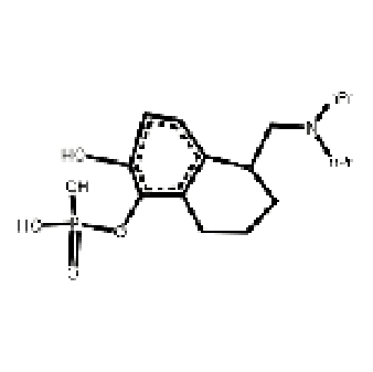 CCCN(CCC)CC1CCCc2c1ccc(O)c2OP(=O)(O)O